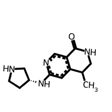 CC1CNC(=O)c2cnc(N[C@@H]3CCNC3)cc21